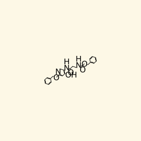 O=C(CCNC(=O)OCc1ccccc1)Nc1cnc(OCc2ccccc2)cc1O